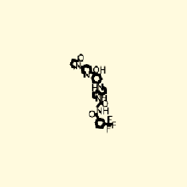 O=C(NCC(=O)N1CC[C@@H]2[C@H]1CCN2C1CCC(O)(c2ccc(N3CCCC3=O)cn2)CC1)c1cccc(C(F)(F)F)c1